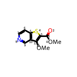 COC(=O)c1sc2ccncc2c1OC